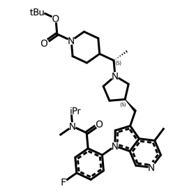 Cc1cncc2c1c(C[C@H]1CCN([C@@H](C)C3CCN(C(=O)OC(C)(C)C)CC3)C1)cn2-c1ccc(F)cc1C(=O)N(C)C(C)C